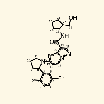 Cc1ncc(F)cc1C1CCCN1c1ccn2ncc(C(=O)N[C@@H]3CCC[C@H]3CO)c2n1